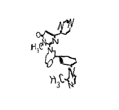 Cc1nccn1-c1cccc(C2CN(c3nc(-c4ccncn4)cc(=O)n3C)CCO2)c1